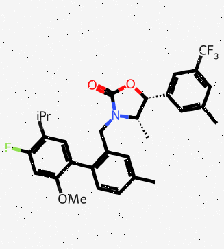 COc1cc(F)c(C(C)C)cc1-c1ccc(C)cc1CN1C(=O)O[C@H](c2cc(C)cc(C(F)(F)F)c2)[C@@H]1C